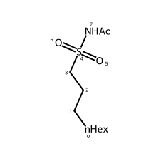 CCCCCCCCCS(=O)(=O)NC(C)=O